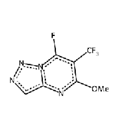 COc1nc2cnnn2c(F)c1C(F)(F)F